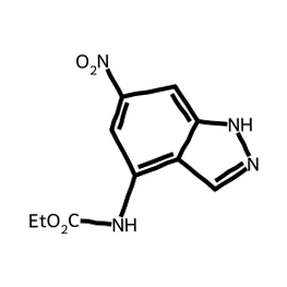 CCOC(=O)Nc1cc([N+](=O)[O-])cc2[nH]ncc12